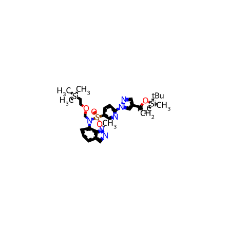 C=C(O[Si](C)(C)C(C)(C)C)c1cnn(-c2ccc(S(=O)(=O)N(COCC[Si](C)(C)C)c3cccc4cnn(C)c34)cn2)c1